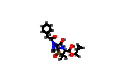 CC(OC(=O)C1N2C(=O)C(NC(=O)Cc3ccccc3)[C@@H]2[S+]([O-])C1(C)C)C1CC1